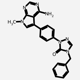 Cn1cc(-c2ccc(-n3ncn(Cc4ccccc4)c3=O)cc2)c2c(N)ncnc21